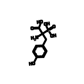 NC(Cc1ccc(O)cc1)(C(=O)O)P(=O)(O)O